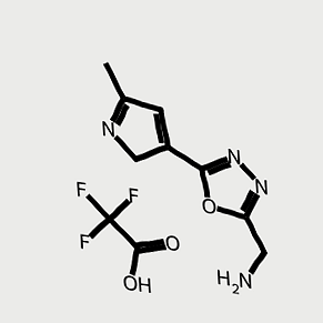 CC1=NCC(c2nnc(CN)o2)=C1.O=C(O)C(F)(F)F